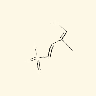 CS/C=C(C)\C=C\S(=O)(=O)Cl